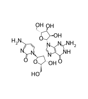 Nc1ccn([C@H]2C[C@H](O)[C@@H](CO)O2)c(=O)n1.Nc1nc2c(ncn2[C@@H]2O[C@H](CO)[C@@H](O)[C@H]2O)c(=O)[nH]1